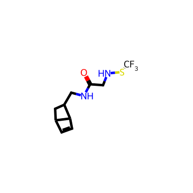 O=C(CNSC(F)(F)F)NCC1CC2C=CC21